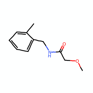 COCC(=O)NCc1ccccc1C